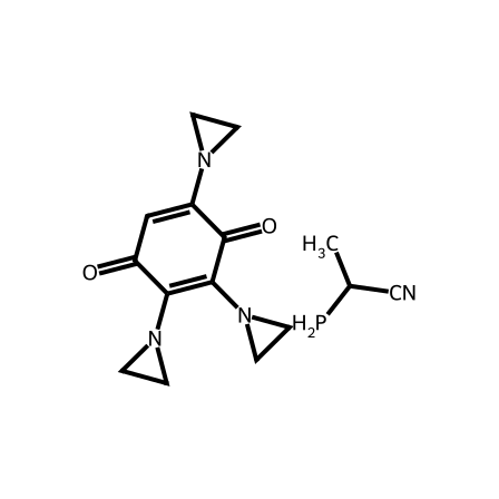 CC(P)C#N.O=C1C=C(N2CC2)C(=O)C(N2CC2)=C1N1CC1